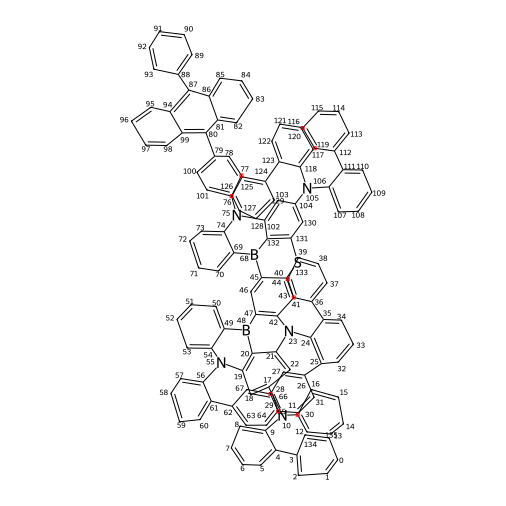 c1ccc(-c2ccccc2N(c2ccccc2)c2cc3c4c(c2)N(c2c(-c5ccccc5)cccc2-c2ccccc2)c2cc5c(cc2B4c2ccccc2N3c2ccccc2-c2ccccc2)B2c3ccccc3N(c3ccc(-c4c6ccccc6c(-c6ccccc6)c6ccccc46)cc3)c3cc(N(c4ccccc4-c4ccccc4)c4ccccc4-c4ccccc4)cc(c32)S5)cc1